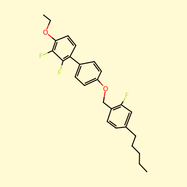 CCCCCc1ccc(COc2ccc(-c3ccc(OCC)c(F)c3F)cc2)c(F)c1